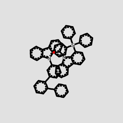 c1ccc(-c2ccccc2-c2cccc(-n3c4ccccc4c4cccc(-n5c6ccccc6c6cccc([Si](c7ccccc7)(c7ccccc7)c7ccccc7)c65)c43)c2)cc1